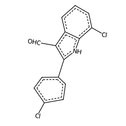 O=Cc1c(-c2ccc(Cl)cc2)[nH]c2c(Cl)cccc12